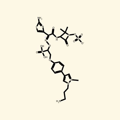 C[n+]1cc(-c2ccc(OCC(O/N=C(\C(=O)NC3C(=O)N(OS(=O)(=O)[O-])C3(C)C)c3csc(N)n3)P(=O)(O)O)cc2)cn1CCCN